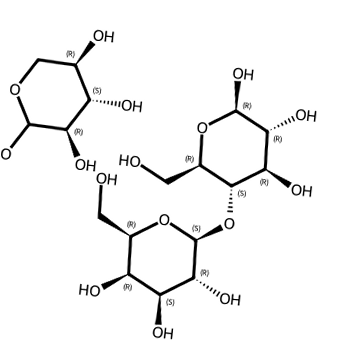 OC1OC[C@@H](O)[C@H](O)[C@H]1O.OC[C@H]1O[C@@H](O[C@H]2[C@H](O)[C@@H](O)[C@H](O)O[C@@H]2CO)[C@H](O)[C@@H](O)[C@H]1O